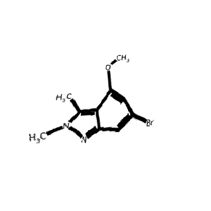 COc1cc(Br)cc2nn(C)c(C)c12